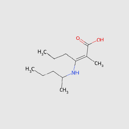 CCC/C(NC(C)CCC)=C(/C)C(=O)O